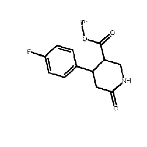 CC(C)OC(=O)C1CNC(=O)CC1c1ccc(F)cc1